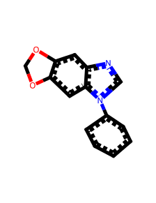 c1ccc(-n2cnc3cc4c(cc32)OCO4)cc1